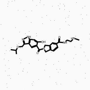 CNCCNC(=O)c1ccc2c(c1)CN(C(=O)c1cc3c(COC(C)C)n[nH]c3cc1O)C2